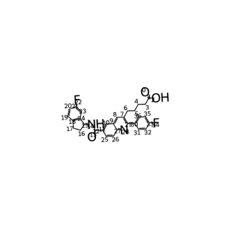 O=C(O)CCCCc1cc2cc(C(=O)N[C@H]3CCc4ccc(F)cc43)ccc2nc1-c1ccc(F)cc1